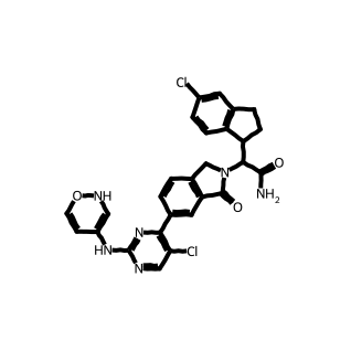 NC(=O)C(C1CCc2cc(Cl)ccc21)N1Cc2ccc(-c3nc(NC4=CNOC=C4)ncc3Cl)cc2C1=O